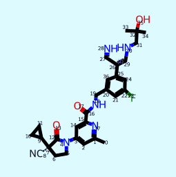 Cc1cc(N2CC[C@@](C#N)(C3CC3)C2=O)cc(C(=O)NCc2cc(F)cc(/C(C=N)=C/NCC(C)(C)O)c2)n1